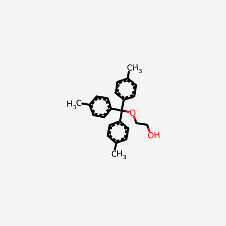 Cc1ccc(C(OCCO)(c2ccc(C)cc2)c2ccc(C)cc2)cc1